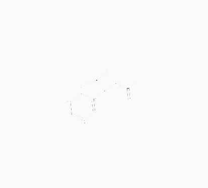 CC(=O)C[C@@](O)(c1ccccc1)C(F)(F)F